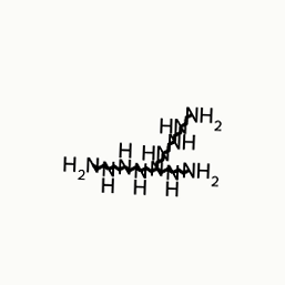 NCCNCCNCCNCCN(CCNCCN)CCNCCNCCNCCN